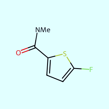 CNC(=O)c1ccc(F)s1